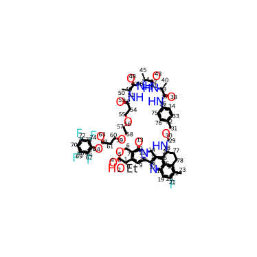 CC[C@@]1(O)C(=O)OCc2c1cc1n(c2=O)Cc2c-1nc1cc(F)c(C)c3c1c2[C@@H](NCOCc1ccc(NC(=O)[C@H](C)NC(=O)[C@H](C)NC(=O)[C@H](C)NC(=O)CCOCCOCCC(=O)Oc2c(F)c(F)cc(F)c2F)cc1)CC3